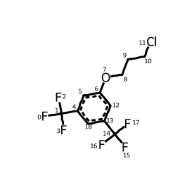 FC(F)(F)c1cc(OCCCCl)cc(C(F)(F)F)c1